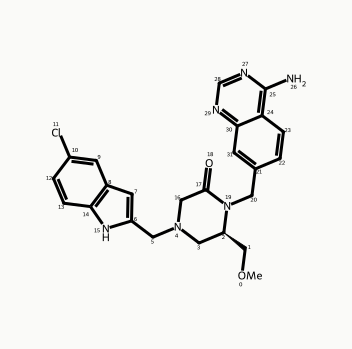 COC[C@H]1CN(Cc2cc3cc(Cl)ccc3[nH]2)CC(=O)N1Cc1ccc2c(N)ncnc2c1